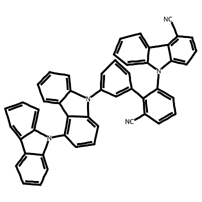 N#Cc1cccc(-n2c3ccccc3c3c(C#N)cccc32)c1-c1cccc(-n2c3ccccc3c3c(-n4c5ccccc5c5ccccc54)cccc32)c1